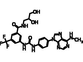 CNc1ncnc2c1ncn2-c1ccc(NC(=O)Nc2cc(C(=O)NCC(O)CO)cc(C(F)(F)F)c2)cc1